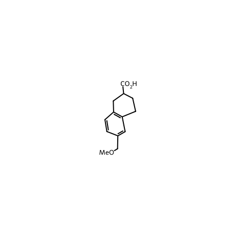 COCc1ccc2c(c1)CCC(C(=O)O)C2